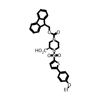 CCOc1ccc(-c2ccc(S(=O)(=O)N3CCN(C(=O)OCC4c5ccccc5-c5ccccc54)C[C@@H]3C(=O)O)s2)cc1